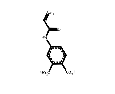 C=CC(=O)Nc1ccc(C(=O)O)c(C(=O)O)c1